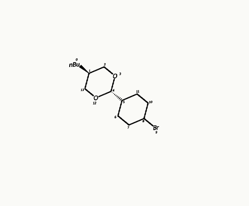 CCCC[C@H]1CO[C@H](C2CCC(Br)CC2)OC1